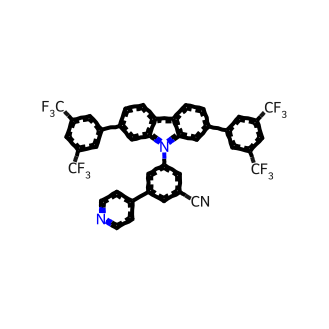 N#Cc1cc(-c2ccncc2)cc(-n2c3cc(-c4cc(C(F)(F)F)cc(C(F)(F)F)c4)ccc3c3ccc(-c4cc(C(F)(F)F)cc(C(F)(F)F)c4)cc32)c1